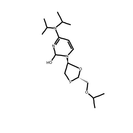 CC(C)OC[C@H]1O[C@H](N2C=CC(N(C(C)C)C(C)C)=NC2O)CS1